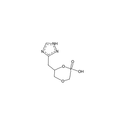 O=P1(O)COCC(Cc2nc[nH]n2)O1